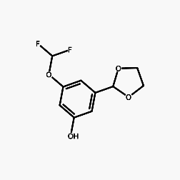 Oc1cc(OC(F)F)cc(C2OCCO2)c1